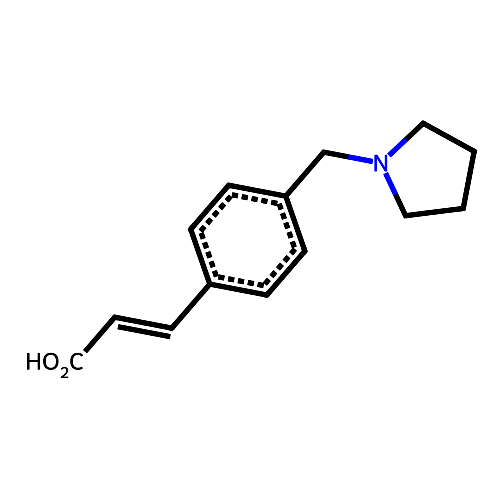 O=C(O)C=Cc1ccc(CN2CCCC2)cc1